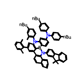 CCCCc1ccc(N(c2ccc(CCCC)cc2)c2ccc3c(c2)N(c2ccc(CCCC)cc2C)c2cc(-c4c(C)cccc4C)cc4c2B3N(c2ccc3c(c2)C(C)(C)c2ccccc2-3)c2c-4ccc3ccccc23)cc1